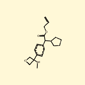 C=CCOC(=O)C(c1ccc(C2(NC)COC2)cc1)C1CCCC1